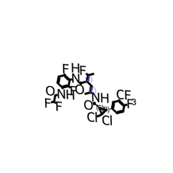 C/C(F)=C(\C=C(/C)NC(=O)[C@H]1[C@H](c2ccc(F)c(C(F)(F)F)c2)C1(Cl)Cl)C(=O)Nc1c(F)ccc(NC(=O)C(F)F)c1F